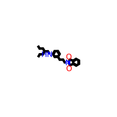 CCCC(CCC)CNc1cccc(CCCN2C(=O)c3ccccc3C2=O)c1